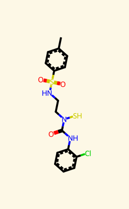 Cc1ccc(S(=O)(=O)NCCN(S)C(=O)Nc2ccccc2Cl)cc1